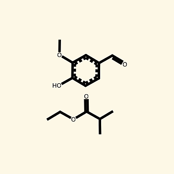 CCOC(=O)C(C)C.COc1cc(C=O)ccc1O